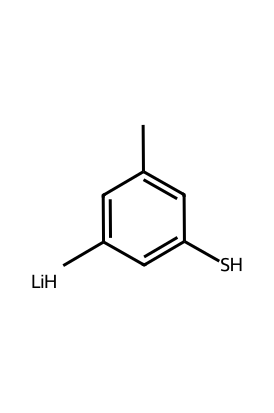 Cc1cc(C)cc(S)c1.[LiH]